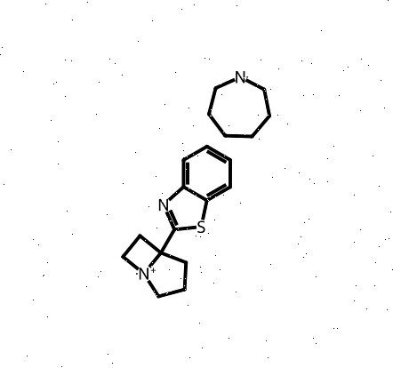 C1CCC[N]CC1.c1ccc2sc(C34CCC[N+]3CC4)nc2c1